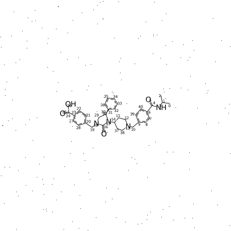 CC(C)NC(=O)c1ccc(CN2CCC(N3C(=O)N(Cc4ccc(C(=O)O)cc4)C[C@H]3c3ccccc3)CC2)cc1